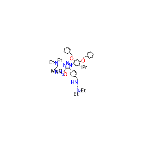 CCN(CC)CCN.CCN(CC)CCNCc1ccc(-c2c(C(=O)OC)nnn2-c2cc(C(C)C)c(OCc3ccccc3)cc2OCc2ccccc2)cc1